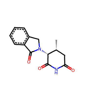 C[C@@H]1CC(=O)NC(=O)[C@@H]1N1Cc2ccccc2C1=O